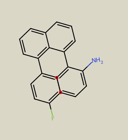 Nc1ccccc1-c1cccc2cccc(-c3ccc(F)cc3)c12